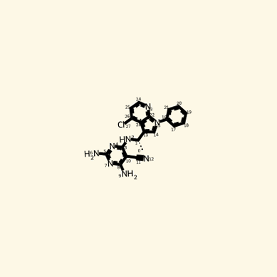 C[C@H](Nc1nc(N)nc(N)c1C#N)c1cn(-c2ccccc2)c2nccc(Cl)c12